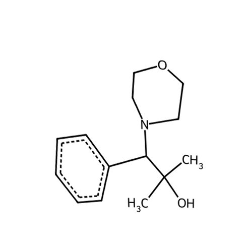 CC(C)(O)C(c1ccccc1)N1CCOCC1